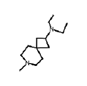 CCN(CC)C1CC2(CCN(C)CC2)C1